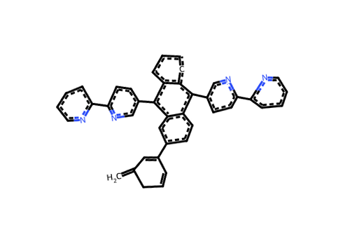 C=C1C=C(c2ccc3c(-c4ccc(-c5ccccn5)nc4)c4ccccc4c(-c4ccc(-c5ccccn5)nc4)c3c2)C=CC1